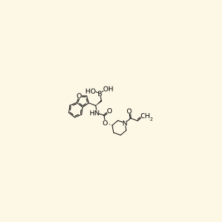 C=CC(=O)N1CCC[C@H](OC(=O)N[C@H](CB(O)O)c2coc3ccccc23)C1